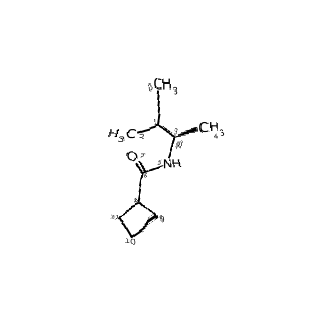 CC(C)[C@@H](C)NC(=O)C1CCC1